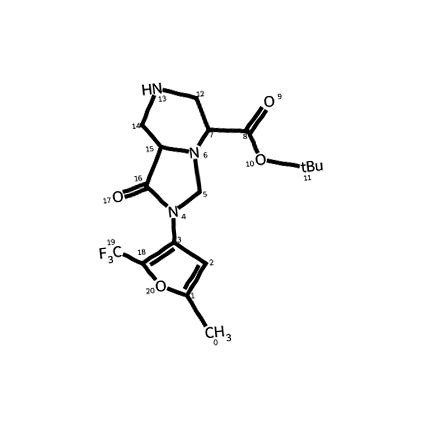 Cc1cc(N2CN3C(C(=O)OC(C)(C)C)CNCC3C2=O)c(C(F)(F)F)o1